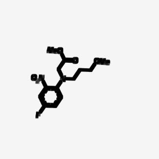 COCCCN(CC(=O)OC)c1ccc(F)cc1[N+](=O)[O-]